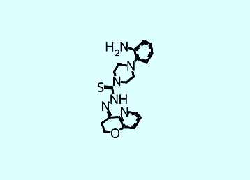 Nc1ccccc1N1CCN(C(=S)N/N=C2/CCOc3cccnc32)CC1